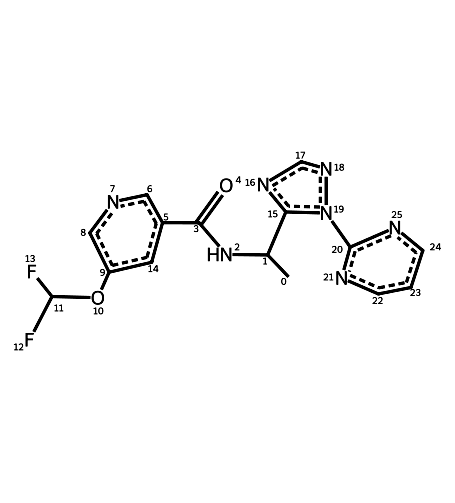 CC(NC(=O)c1cncc(OC(F)F)c1)c1ncnn1-c1ncccn1